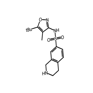 Cc1c(NS(=O)(=O)c2ccc3c(c2)CNCC3)noc1C(C)(C)C